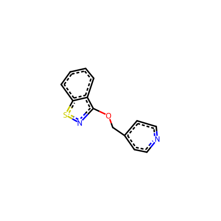 c1ccc2c(OCc3ccncc3)nsc2c1